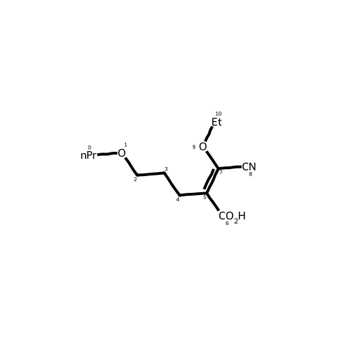 CCCOCCCC(C(=O)O)=C(C#N)OCC